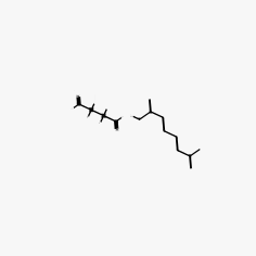 CC(C)CCCCC(C)COC(=O)C(F)(F)C(F)(F)C(=O)O